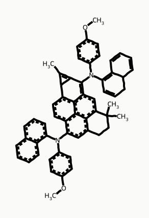 COc1ccc(N(C2=C3C=CC=CC3CC=C2)C2=c3cc4c5c(cc(N(c6ccc(OC)cc6)c6cccc7ccccc67)c6ccc(c3c65)C3C(C)=C23)CCC4(C)C)cc1